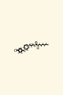 CCCCCCNC(=O)SCCCN1CCCN(Cc2ccc(Cl)cc2)CC1